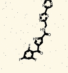 O=C(NCc1nnc(-c2cnccn2)s1)c1cc(C(=O)c2c(F)cc(F)cc2F)c[nH]1